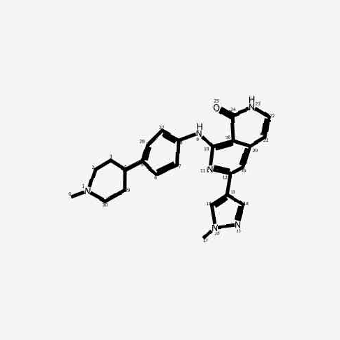 CN1CCC(c2ccc(Nc3nc(-c4cnn(C)c4)cc4cc[nH]c(=O)c34)cc2)CC1